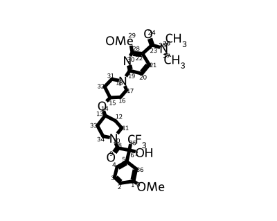 COc1cccc(C(O)(C(=O)N2CCC(OC3CCN(c4ccc(C(=O)N(C)C)c(OC)n4)CC3)CC2)C(F)(F)F)c1